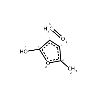 C=O.Cc1ccc(O)o1